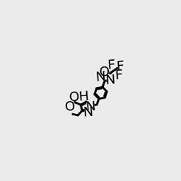 CCc1nn(Cc2ccc(-c3noc(C(F)(F)F)n3)cc2)cc1C(=O)O